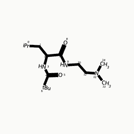 CC(C)CC(NC(=O)C(C)(C)C)C(=O)NCCN(C)C